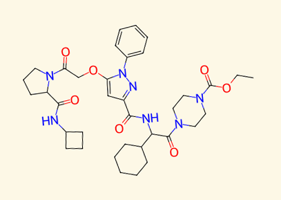 CCOC(=O)N1CCN(C(=O)C(NC(=O)c2cc(OCC(=O)N3CCCC3C(=O)NC3CCC3)n(-c3ccccc3)n2)C2CCCCC2)CC1